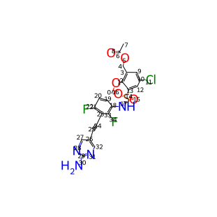 COc1c(COC(C)=O)cc(Cl)cc1S(=O)(=O)Nc1ccc(F)c(C#Cc2cnc(N)nc2)c1F